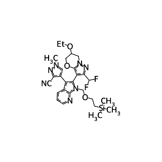 CCOC1COc2c(-c3c(-c4cn(C)nc4C#N)c4cccnc4n3COCC[Si](C)(C)C)c(C(F)F)nn2C1